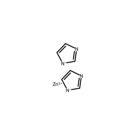 [Zn+2].c1c[n-]cn1.c1c[n-]cn1